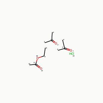 CC(C)=O.CC(C)=O.CCOC(C)=O.Cl